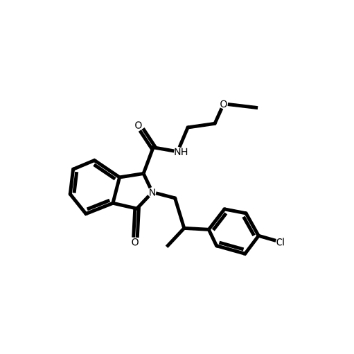 COCCNC(=O)C1c2ccccc2C(=O)N1CC(C)c1ccc(Cl)cc1